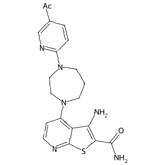 CC(=O)c1ccc(N2CCCN(c3ccnc4sc(C(N)=O)c(N)c34)CC2)nc1